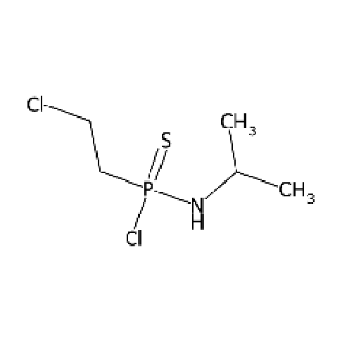 CC(C)NP(=S)(Cl)CCCl